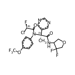 C[C@@](C(=O)NC1COCC1(F)F)(c1cncnc1)N(C(=O)[C@H](F)Cl)c1ccc(OC(F)(F)F)cc1